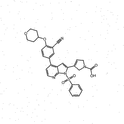 N#Cc1cc(-c2ccnc3c2cc(C2=CCN(C(=O)O)C2)n3S(=O)(=O)c2ccccc2)ccc1OC1CCOCC1